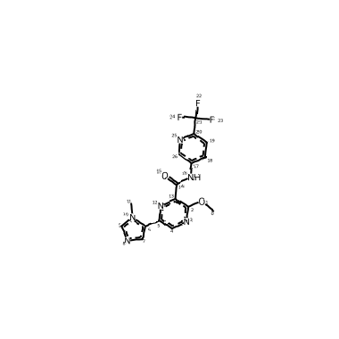 COc1ncc(-c2cncn2C)nc1C(=O)Nc1ccc(C(F)(F)F)nc1